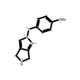 COc1ccc(Sn2cc3c(n2)CNC3)cc1